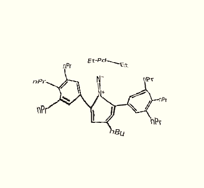 CCCCC1=C(c2cc(CCC)c(CCC)c(CCC)c2)[N+](=[N-])C(c2cc(CCC)c(CCC)c(CCC)c2)=C1.C[CH2][Pd][CH2]C